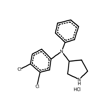 Cl.Clc1ccc(N(c2ccccc2)C2CCNC2)cc1Cl